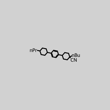 CCCCC1(C#N)CCC(c2ccc(C3CCC(CCC)CC3)cc2)CC1